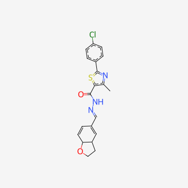 Cc1nc(-c2ccc(Cl)cc2)sc1C(=O)N/N=C/C1=CC2CCOC2C=C1